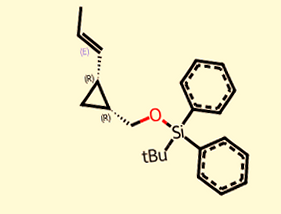 C/C=C/[C@H]1C[C@H]1CO[Si](c1ccccc1)(c1ccccc1)C(C)(C)C